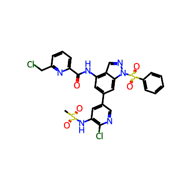 CS(=O)(=O)Nc1cc(-c2cc(NC(=O)c3cccc(CCl)n3)c3cnn(S(=O)(=O)c4ccccc4)c3c2)cnc1Cl